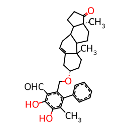 Cc1c(O)c(O)c(C=O)c(CO[C@H]2CCC3(C)C(=CCC4C3CC[C@]3(C)C(=O)CCC43)C2)c1-c1ccccc1